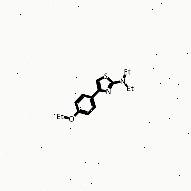 CCOc1ccc(-c2csc(N(CC)CC)n2)cc1